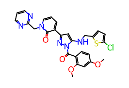 COc1ccc(C(=O)n2nc(-c3cccn(Cc4ncccn4)c3=O)cc2NCc2ccc(Cl)s2)c(OC)c1